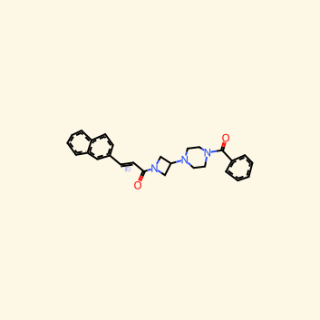 O=C(/C=C/c1ccc2ccccc2c1)N1CC(N2CCN(C(=O)c3ccccc3)CC2)C1